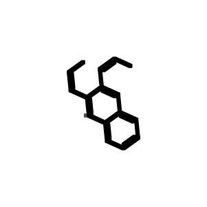 C/C=C\c1[c]c2ccccc2cc1/C=C\C